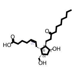 CCCCCCCC(=O)CC[C@@H]1[C@@H](C/C=C\CCCC(=O)O)[C@@H](CO)C[C@H]1O